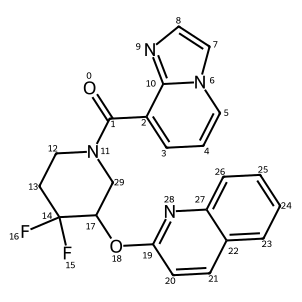 O=C(c1cccn2ccnc12)N1CCC(F)(F)C(Oc2ccc3ccccc3n2)C1